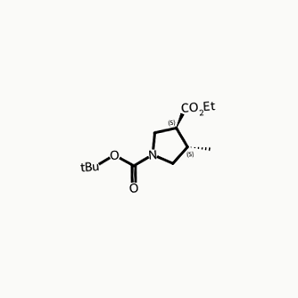 CCOC(=O)[C@@H]1CN(C(=O)OC(C)(C)C)C[C@H]1C